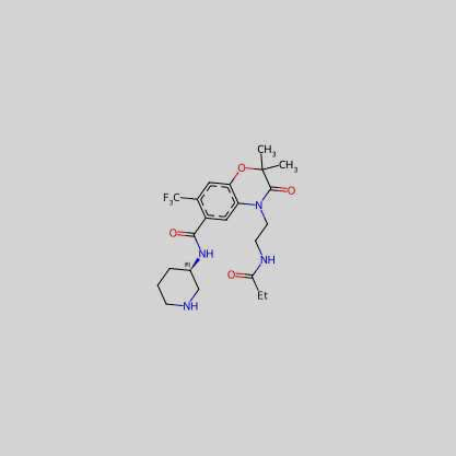 CCC(=O)NCCN1C(=O)C(C)(C)Oc2cc(C(F)(F)F)c(C(=O)N[C@@H]3CCCNC3)cc21